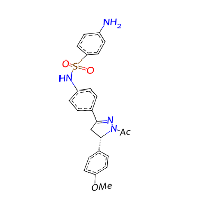 COc1ccc([C@@H]2CC(c3ccc(NS(=O)(=O)c4ccc(N)cc4)cc3)=NN2C(C)=O)cc1